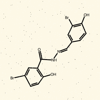 O=C(N/N=C/c1ccc(O)c(Br)c1)c1cc(Br)ccc1O